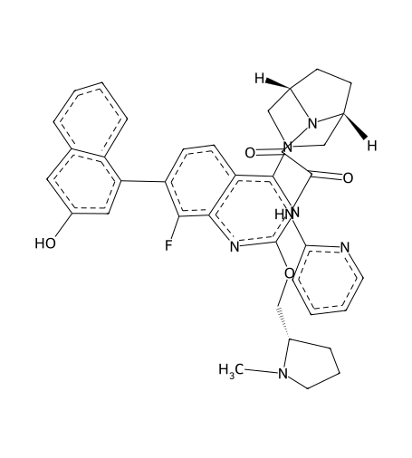 CN1CCC[C@H]1COc1nc(N2C[C@H]3CC[C@@H](C2)N3C(=O)C(=O)Nc2ccccn2)c2ccc(-c3cc(O)cc4ccccc34)c(F)c2n1